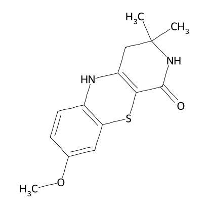 COc1ccc2c(c1)SC1=C(CC(C)(C)NC1=O)N2